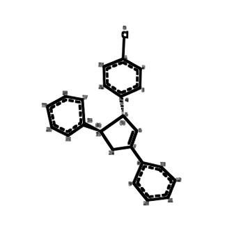 Clc1ccc([C@@H]2C=C(c3ccccc3)C[C@H]2c2ccccc2)cc1